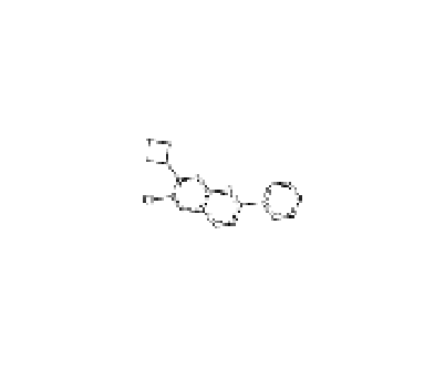 Clc1cc2ccc(-c3ccccc3)nc2cc1C1C[CH]C1